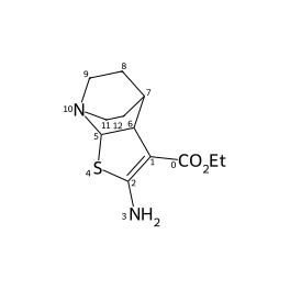 CCOC(=O)C1=C(N)SC2C1C1CCN2CC1